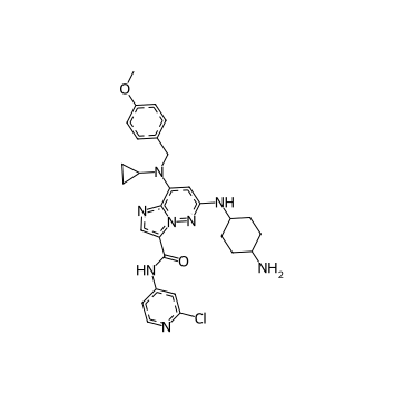 COc1ccc(CN(c2cc(NC3CCC(N)CC3)nn3c(C(=O)Nc4ccnc(Cl)c4)cnc23)C2CC2)cc1